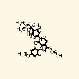 COOSc1nn(-c2ccc(OC)cc2)c2c1CCN(c1ccc(C(C)(C)CN(C)C)cc1)C2=O